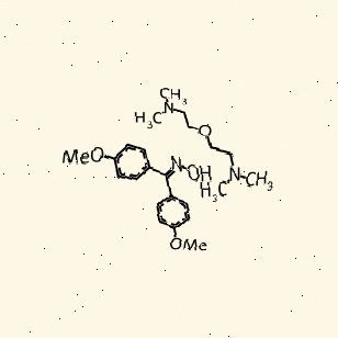 CN(C)CCOCCN(C)C.COc1ccc(C(=NO)c2ccc(OC)cc2)cc1